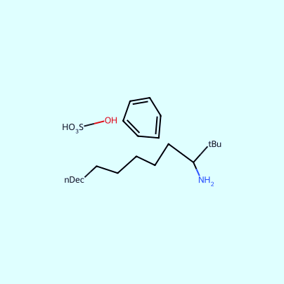 CCCCCCCCCCCCCCCC(N)C(C)(C)C.O=S(=O)(O)O.c1ccccc1